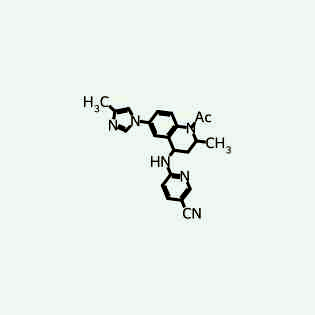 CC(=O)N1c2ccc(-n3cnc(C)c3)cc2C(Nc2ccc(C#N)cn2)CC1C